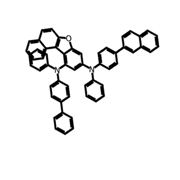 c1ccc(-c2ccc(N(c3ccccc3)c3cc(N(c4ccccc4)c4ccc(-c5ccc6ccccc6c5)cc4)cc4oc5ccc6ccccc6c5c34)cc2)cc1